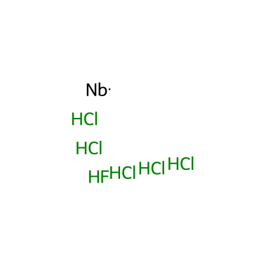 Cl.Cl.Cl.Cl.Cl.F.[Nb]